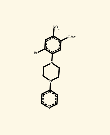 COc1cc(N2CCN(c3ccncc3)CC2)c(Br)cc1[N+](=O)[O-]